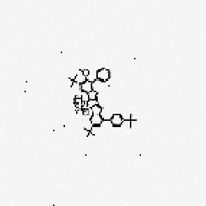 COc1c(C(C)(C)C)cc2c(c1-c1ccccc1)C=C(C)[CH]2[Zr]([Cl])([Cl])([CH]1C(C)=Cc2c(-c3ccc(C(C)(C)C)cc3)cc(C(C)(C)C)cc21)[SiH](C)C